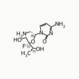 C[C@H](O)[C@@](F)(CO)O[C@H](CN)n1ccc(N)nc1=O